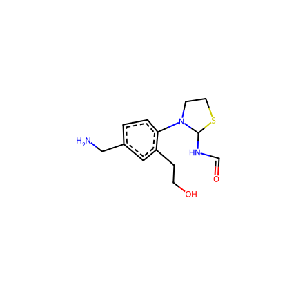 NCc1ccc(N2CCSC2NC=O)c(CCO)c1